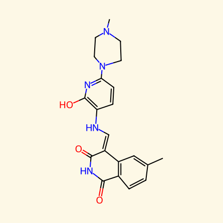 Cc1ccc2c(c1)/C(=C/Nc1ccc(N3CCN(C)CC3)nc1O)C(=O)NC2=O